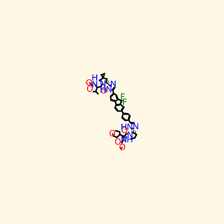 COC(=O)NC(C(=O)N1CC2(CC2)C[C@H]1c1ncc(-c2ccc3c(c2)C(F)(F)c2cc(-c4ccc(-c5cnc([C@@H]6CCCN6C(=O)[C@@H](NC(=O)OC)C6CCOCC6)[nH]5)cc4)ccc2-3)[nH]1)C(C)C